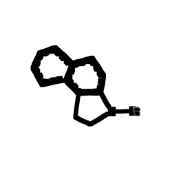 CCN1CCc2c1ccc1ccccc21